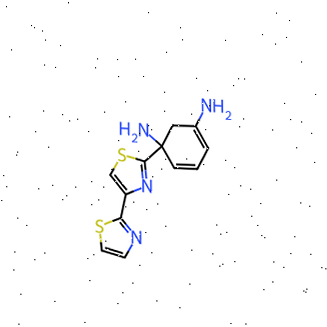 NC1=CC=CC(N)(c2nc(-c3nccs3)cs2)C1